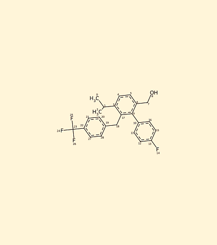 CC(C)c1ccc(CO)c(-c2ccc(F)cc2)c1Cc1ccc(C(F)(F)F)cc1